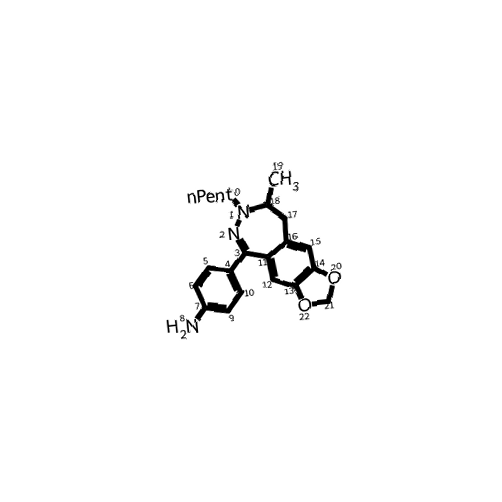 CCCCCN1N=C(c2ccc(N)cc2)c2cc3c(cc2CC1C)OCO3